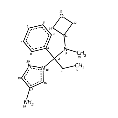 CCC(c1ccccc1)(N(C)C1COC1)n1cc(N)cn1